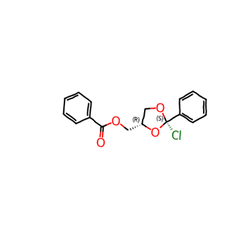 O=C(OC[C@@H]1CO[C@@](Cl)(c2ccccc2)O1)c1ccccc1